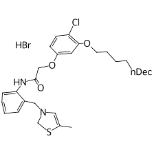 Br.CCCCCCCCCCCCCCOc1cc(OCC(=O)Nc2ccccc2CN2C=C(C)SC2)ccc1Cl